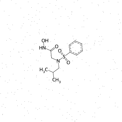 CC(C)CN(CC(=O)NO)S(=O)(=O)c1ccccc1